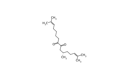 CC(C)=CCCCCC(=O)C(=O)C[C@@H](C)CCC=C(C)C